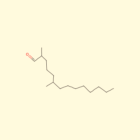 CCCCCCCCC(C)CCCC(C)C=O